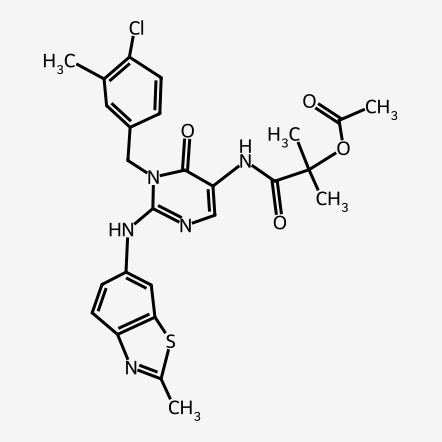 CC(=O)OC(C)(C)C(=O)Nc1cnc(Nc2ccc3nc(C)sc3c2)n(Cc2ccc(Cl)c(C)c2)c1=O